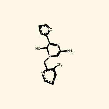 N#CC1C(c2ncco2)=NC(N)=CN1Cc1ncccc1C(F)(F)F